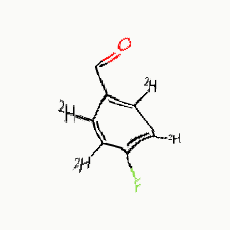 [2H]c1c([2H])c(C=O)c([2H])c([2H])c1F